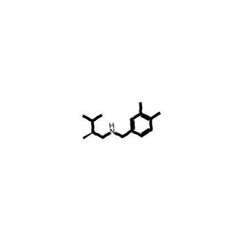 Cc1ccc(CNC[C@@H](C)C(C)C)cc1C